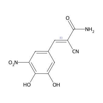 N#C/C(=C\c1cc(O)c(O)c([N+](=O)[O-])c1)C(N)=O